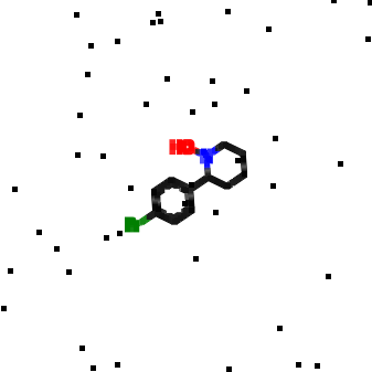 ON1CCCCC1c1ccc(Br)cc1